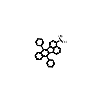 OB(O)c1ccc2c3c(cccc13)-c1c-2c(-c2ccccc2)c2ccccc2c1-c1ccccc1